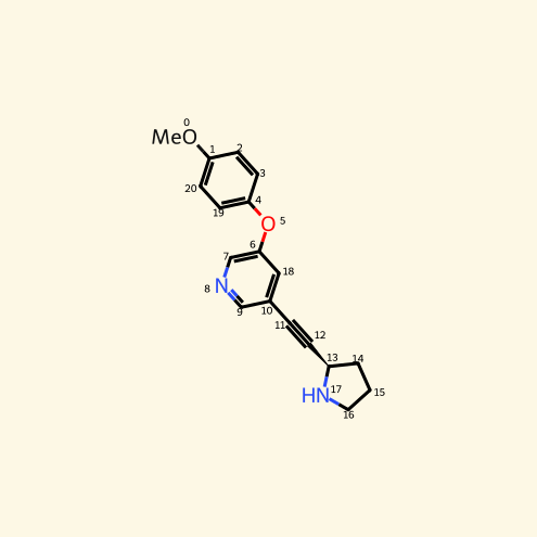 COc1ccc(Oc2cncc(C#C[C@H]3CCCN3)c2)cc1